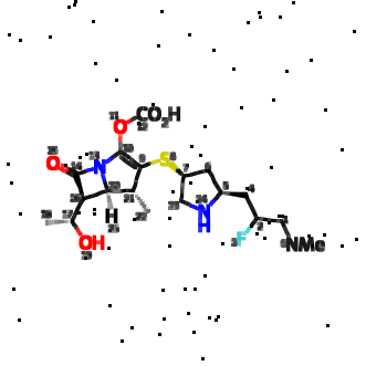 CNCC(F)C[C@@H]1C[C@H](SC2=C(OC(=O)O)N3C(=O)[C@H]([C@@H](C)O)[C@@H]3[C@H]2C)CN1